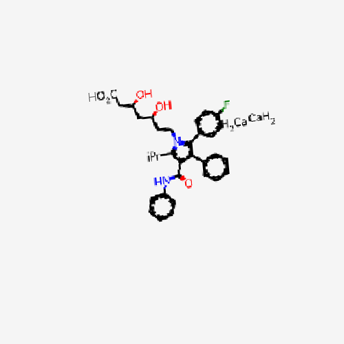 CC(C)c1c(C(=O)Nc2ccccc2)c(-c2ccccc2)c(-c2ccc(F)cc2)n1CCC(O)CC(O)CC(=O)O.[CaH2].[CaH2]